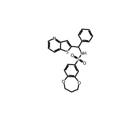 O=S(=O)(NC(c1ccccc1)c1cc2ncccc2s1)c1ccc2c(c1)OCCCO2